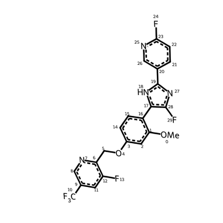 COc1cc(OCc2ncc(C(F)(F)F)cc2F)ccc1-c1[nH]c(-c2ccc(F)nc2)nc1F